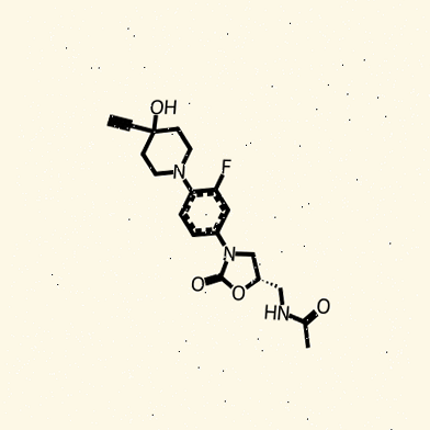 C#CC1(O)CCN(c2ccc(N3C[C@H](CNC(C)=O)OC3=O)cc2F)CC1